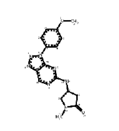 COc1ccc(-n2nnc3cnc(NC4CC(=O)N(C)C4)nc32)cc1